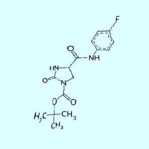 CC(C)(C)OC(=O)N1CC(C(=O)Nc2ccc(F)cc2)NC1=O